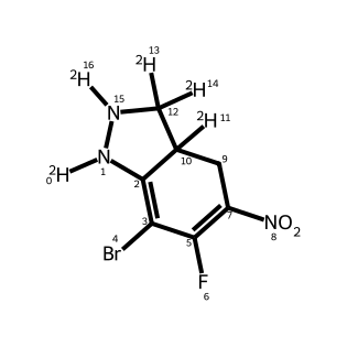 [2H]N1C2=C(Br)C(F)=C([N+](=O)[O-])CC2([2H])C([2H])([2H])N1[2H]